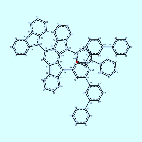 c1ccc(-c2ccc(-n3c4ccccc4c4c(-n5c6ccccc6c6ccccc65)cc5c6ccccc6n(-c6nc(-c7cccc(-c8ccccc8)c7)nc(-c7cccc(-c8ccccc8)c7)n6)c5c43)cc2)cc1